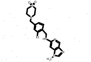 CCc1cc(CN2CCS(=O)(=O)CC2)ccc1CNc1cc2c(cn1)ncn2C